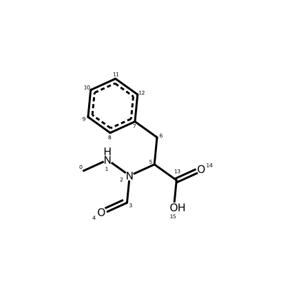 CNN(C=O)C(Cc1ccccc1)C(=O)O